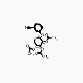 CC(=O)O[C@@H]1[C@@H](OC(C)=O)[C@H](OC(C)=O)CS[C@H]1Oc1cccc(C#N)c1